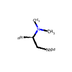 CCC[C@H](CNC)N(C)C